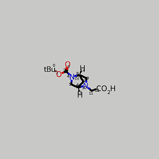 CC(C)(C)OC(=O)N1C[C@@H]2C[C@H]1CN2CC(=O)O